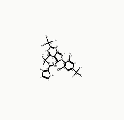 FC(F)(F)c1cc(Cl)c(-n2nc3nc(C(F)(F)F)nc(C(F)(F)F)c3c2NCc2nccs2)c(Cl)c1